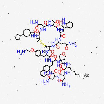 CC(=O)NCCCCC(NC(=O)C1(NC(=O)C(Cc2ccc3ccccc3c2)NC(=O)C(Cc2ccc(OCCN)cc2)NC(=O)C2NC(=O)C(CCC(N)=O)NC(=O)C(Cc3c[nH]c4ccccc34)NC(=O)C(C(C)O)NC(=O)C(CC(N)=O)NC(=O)C(NC(=O)C3CCCC(C4CCCC4)CC3)C(C)(C)SSC2(C)C)CCOCC1)C(=O)NC(CC(N)=O)C(=O)NC(CC(N)=O)C(N)=O